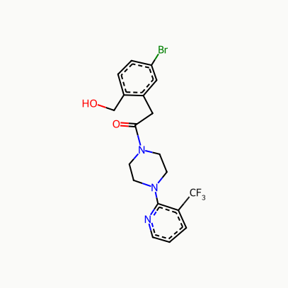 O=C(Cc1cc(Br)ccc1CO)N1CCN(c2ncccc2C(F)(F)F)CC1